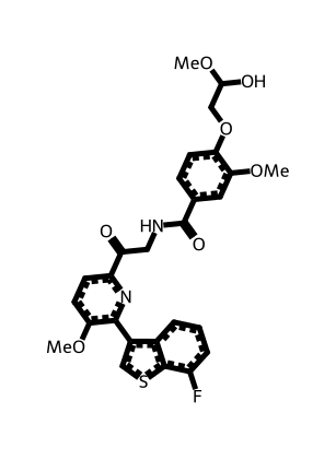 COc1cc(C(=O)NCC(=O)c2ccc(OC)c(-c3csc4c(F)cccc34)n2)ccc1OCC(O)OC